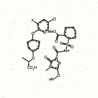 CCCOc1nn(C(=O)NS(=O)(=O)c2ccccc2C(=O)OC)c(=O)n1C.C[C@@H](Oc1ccc(Oc2ncc(Cl)cc2F)cc1)C(=O)O